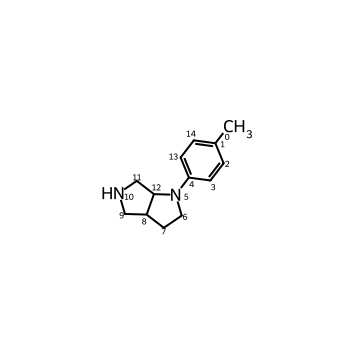 Cc1ccc(N2CCC3CNCC32)cc1